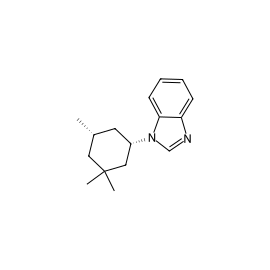 C[C@@H]1C[C@H](n2cnc3ccccc32)CC(C)(C)C1